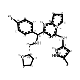 Cc1cc(Nc2nc(C(NC[C@@H]3CCCO3)c3ccc(F)cc3)nc3cccn23)n[nH]1